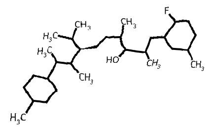 CC1CCC(C(C)C(C)[C@H](CCC(C)C(O)C(C)CC2CC(C)CCC2F)C(C)C)CC1